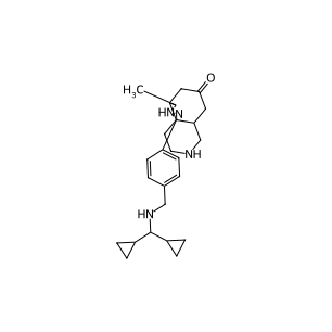 CC1NN(c2ccc(CNC(C3CC3)C3CC3)cc2)C23CCNCC2CC(=O)CC13